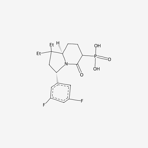 CCC1(CC)C[C@@H](c2cc(F)cc(F)c2)N2C(=O)C(P(=O)(O)O)CC[C@@H]21